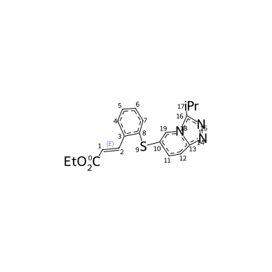 CCOC(=O)/C=C/c1ccccc1Sc1ccc2nnc(C(C)C)n2c1